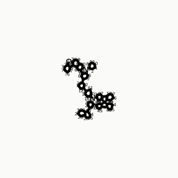 c1ccc(-n2c3ccc(-c4cccc(-c5ccc(N(c6ccc(-c7cccc8ccccc78)cc6)c6ccc7c(c6)C6(c8ccccc8-c8ccccc86)c6ccccc6-7)cc5)c4)cc3c3cc4c(ccc5oc6ccccc6c54)cc32)cc1